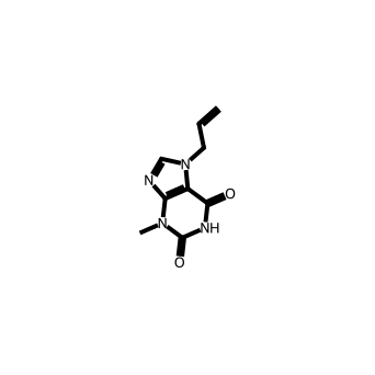 C=CCn1cnc2c1c(=O)[nH]c(=O)n2C